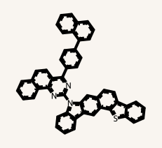 c1ccc2c(-c3ccc(-c4nc(-n5c6ccccc6c6cc7c(ccc8c9ccccc9sc78)cc65)nc5c4ccc4ccccc45)cc3)cccc2c1